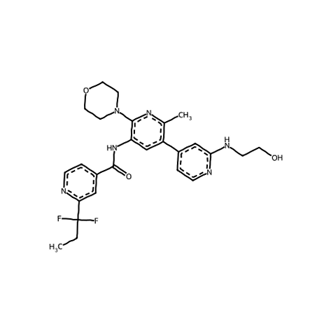 CCC(F)(F)c1cc(C(=O)Nc2cc(-c3ccnc(NCCO)c3)c(C)nc2N2CCOCC2)ccn1